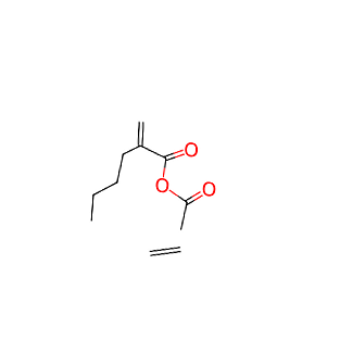 C=C.C=C(CCCC)C(=O)OC(C)=O